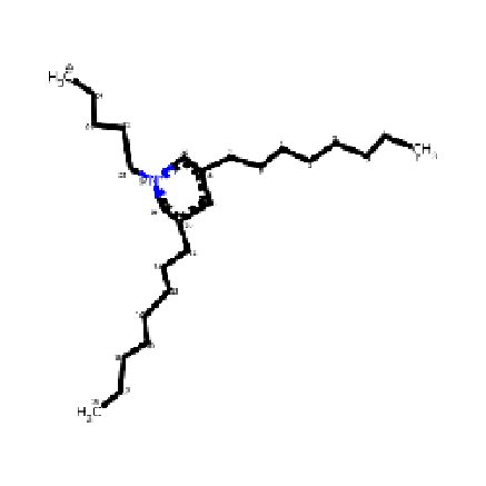 CCCCCCCCc1cc(CCCCCCCC)c[n+](CCCCC)c1